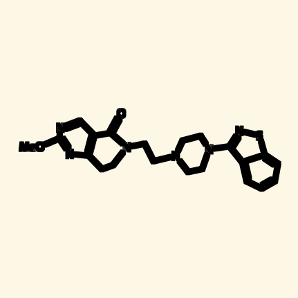 COc1ncc2c(n1)CCN(CCN1CCN(c3nsc4ccccc34)CC1)C2=O